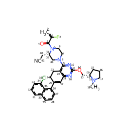 C=C(F)C(=O)N1CCN(c2nc(OC[C@@H]3CCCN3C)nc3c2CCC(c2cccc4cccc(Cl)c24)=C3)C[C@@H]1CC#N